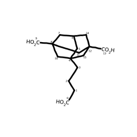 O=C(O)CCCC12CC3CC(C(=O)O)(C1)CC(C(=O)O)(C3)C2